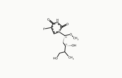 CO[C@H](C[C@H](O)C(C)CO)n1cc(F)c(=O)[nH]c1=O